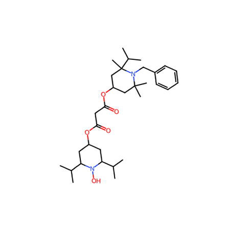 CC(C)C1CC(OC(=O)CC(=O)OC2CC(C)(C)N(Cc3ccccc3)C(C)(C(C)C)C2)CC(C(C)C)N1O